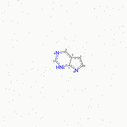 [c]1cc2cnc[nH]c-2n1